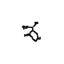 CCC([SiH3])C1CNCCN1